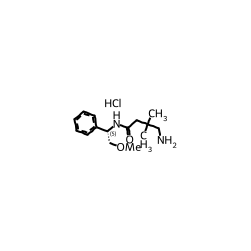 COC[C@@H](NC(=O)CC(C)(C)CN)c1ccccc1.Cl